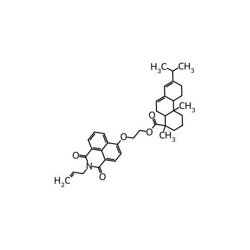 C=CCN1C(=O)c2cccc3c(OCCOC(=O)C4(C)CCCC5(C)C6CCC(C(C)C)=CC6=CCC45)ccc(c23)C1=O